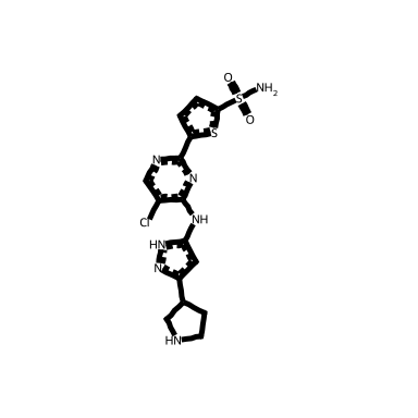 NS(=O)(=O)c1ccc(-c2ncc(Cl)c(Nc3cc(C4CCNC4)n[nH]3)n2)s1